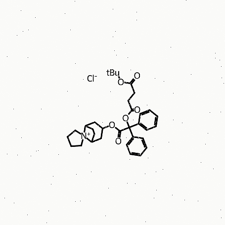 CC(C)(C)OC(=O)CCC(=O)OC(C(=O)OC1CC2CCC(C1)[N+]21CCCC1)(c1ccccc1)c1ccccc1.[Cl-]